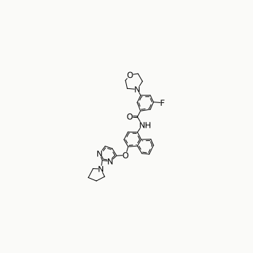 O=C(Nc1ccc(Oc2ccnc(N3CCCC3)n2)c2ccccc12)c1cc(F)cc(N2CCOCC2)c1